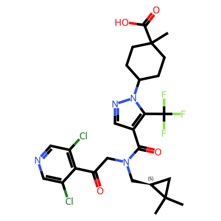 CC1(C(=O)O)CCC(n2ncc(C(=O)N(CC(=O)c3c(Cl)cncc3Cl)C[C@H]3CC3(C)C)c2C(F)(F)F)CC1